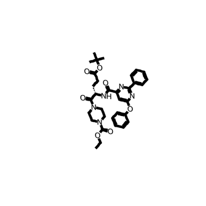 CCOC(=O)N1CCN(C(=O)[C@H](CCC(=O)OC(C)(C)C)NC(=O)c2cc(Oc3ccccc3)nc(-c3ccccc3)n2)CC1